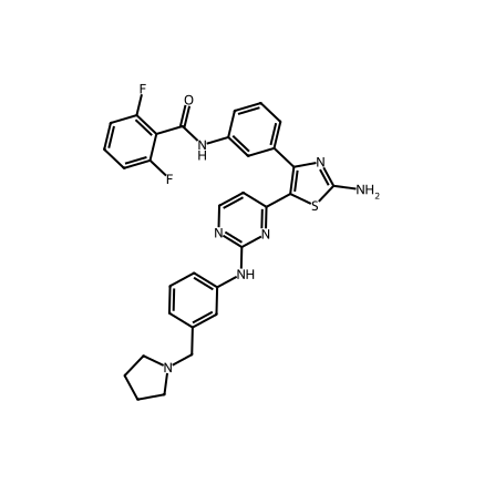 Nc1nc(-c2cccc(NC(=O)c3c(F)cccc3F)c2)c(-c2ccnc(Nc3cccc(CN4CCCC4)c3)n2)s1